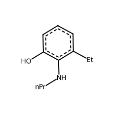 CCCNc1c(O)cccc1CC